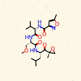 COC[C@H](NC(=O)[C@@H](NC(=O)c1cc(C)on1)C(C)C)C(=O)N[C@@H](CC(C)C)C(=O)[C@@]1(C)CO1